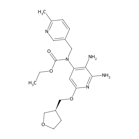 CCOC(=O)N(Cc1ccc(C)nc1)c1cc(OC[C@H]2CCOC2)nc(N)c1N